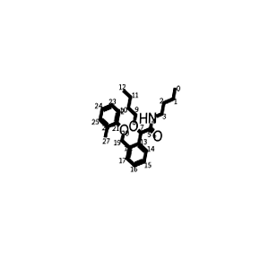 CCCCNC(=O)C(OCCCC)c1ccccc1COc1ccccc1C